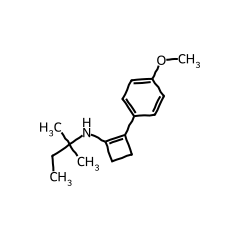 CCC(C)(C)NC1=C(c2ccc(OC)cc2)CC1